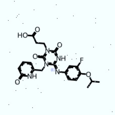 CC(C)Oc1ccc(/N=c2\[nH]c(=O)n(CCC(=O)O)c(=O)n2Cc2cccc(=O)[nH]2)cc1F